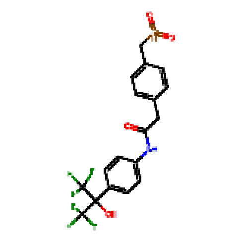 O=C(Cc1ccc(C[SH](=O)=O)cc1)Nc1ccc(C(O)(C(F)(F)F)C(F)(F)F)cc1